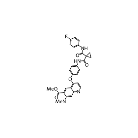 CNc1cc2nccc(Oc3ccc(NC(=O)C4(C(=O)Nc5ccc(F)cc5)CC4)cc3)c2cc1C(=O)OC